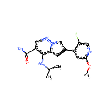 COc1cc(-c2cc3c(NC(C)C)c(C(N)=O)cnn3c2)c(F)cn1